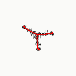 CC(COCCC(=O)NCCOCCOCCOCCC(=O)NCCCCCCCC(=O)ON1C(=O)CCC1=O)(COCCC(=O)NCCOCCOCCOCCC(=O)NCCCCCCCC(=O)ON1C(=O)CCC1=O)COCCC(=O)NCCOCCOCCOCCC(=O)NCCCCCCCC(=O)ON1C(=O)CCC1=O